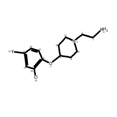 NCCN1CCC(Oc2ccc(F)cc2Cl)CC1